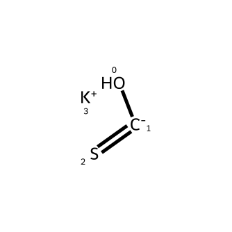 O[C-]=S.[K+]